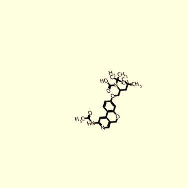 CC(=O)Nc1cc2c(cn1)COc1cc(OCC(CC(C)C)N(C(=O)O)C(C)(C)C)ccc1-2